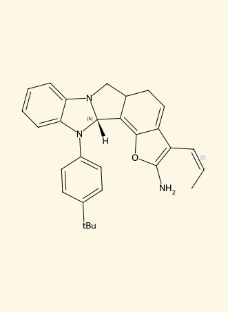 C/C=C\c1c(N)oc2c1=CCC1CN3c4ccccc4N(c4ccc(C(C)(C)C)cc4)[C@H]3C=21